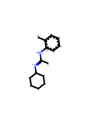 C/C(=N\C1CCCCC1)Nc1ccccc1C